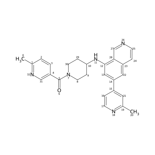 Cc1ccc(C(=O)N2CCC(Nc3cc(-c4ccnc(C)c4)cc4ccncc34)CC2)cn1